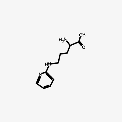 NC(CCCNc1ccccn1)C(=O)O